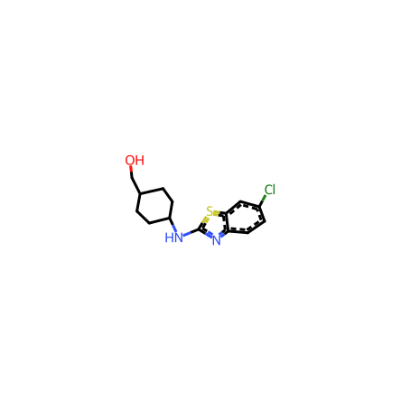 OCC1CCC(Nc2nc3ccc(Cl)cc3s2)CC1